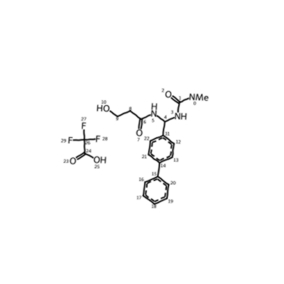 CNC(=O)NC(NC(=O)CCO)c1ccc(-c2ccccc2)cc1.O=C(O)C(F)(F)F